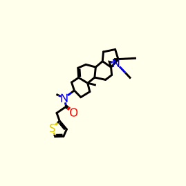 CC1C2CCC3C4CC=C5CC(N(C)C(=O)Cc6cccs6)CCC5(C)C4CCC32CN1C